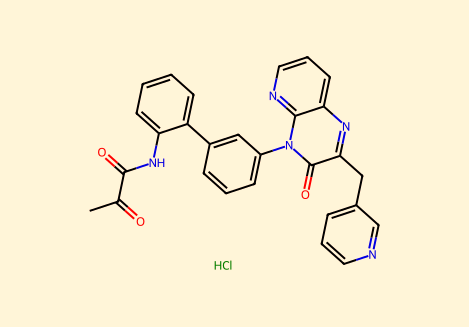 CC(=O)C(=O)Nc1ccccc1-c1cccc(-n2c(=O)c(Cc3cccnc3)nc3cccnc32)c1.Cl